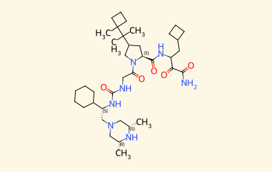 C[C@@H]1CN(C[C@@H](NC(=O)NCC(=O)N2CC(C(C)(C)C3(C)CCC3)C[C@H]2C(=O)NC(CC2CCC2)C(=O)C(N)=O)C2CCCCC2)C[C@H](C)N1